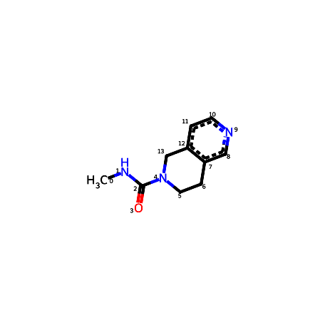 CNC(=O)N1CCc2cnccc2C1